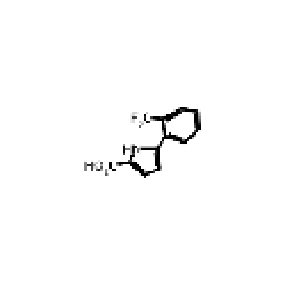 O=C(O)c1ccc(-c2ccccc2C(F)(F)F)[nH]1